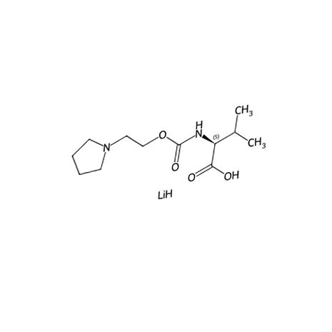 CC(C)[C@H](NC(=O)OCCN1CCCC1)C(=O)O.[LiH]